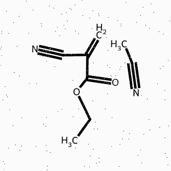 C=C(C#N)C(=O)OCC.CC#N